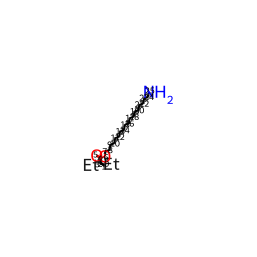 CCC=C(CC)C(=O)OCCCCCCCCCCCCCCCCCCN